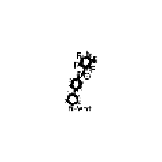 CCCCC[C@H]1CC[C@H](c2ccc(OC(=O)c3c(F)c(F)c(F)c(F)c3F)cc2)CC1